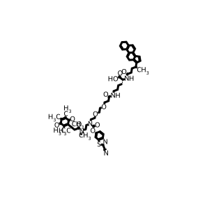 CC1=C(C)C(=O)C(C(C)(C)CC(=O)N(C)CCN(CCOCCOCCC(=O)NCCCC[C@@H](NC(=O)CCC(C)C2=C3CC=c4c5c(ccc4=C3C=C2)CCC=C5)C(=O)O)C(=O)Oc2ccc3nc(C#N)sc3c2)=C(C)C1=O